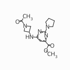 COC(=O)c1cc(NC2CN(C(C)=O)C2)nc(N2CCCC2)n1